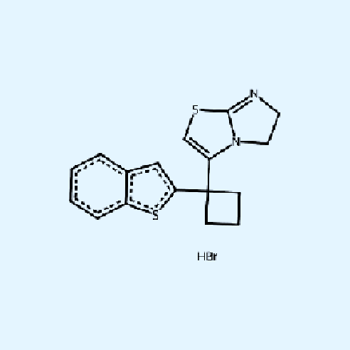 Br.C1=C(C2(c3cc4ccccc4s3)CCC2)N2CCN=C2S1